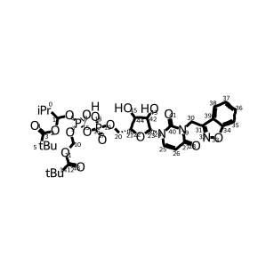 CC(C)C(OC(=O)C(C)(C)C)OP(=O)(OCOC(=O)C(C)(C)C)OP(=O)(O)OC[C@H]1O[C@@H](n2ccc(=O)n(Cc3noc4ccccc34)c2=O)C(O)C1O